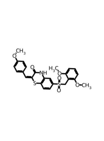 COc1ccc(/C=C2/Sc3ccc(S(=O)(=O)Cc4c(OC)cccc4OC)cc3NC2=O)cc1